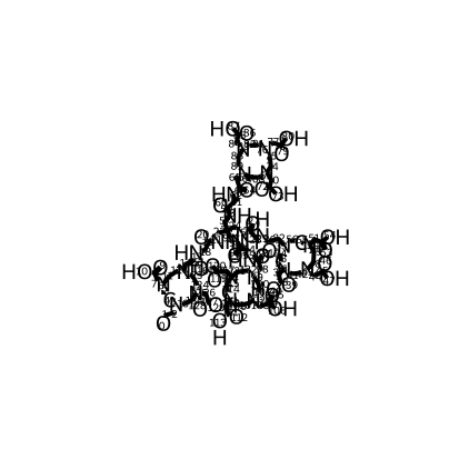 O=CCN1CCN(CC(=O)O)CCN(CC(=O)NCC(=O)NCC(CNC(=O)CNC(=O)CN2CCN(CC(=O)O)CCN(CC(=O)O)CCN(CC(=O)O)CC2)(CNC(=O)CNC(=O)CN2CCN(CC(=O)O)CCN(CC(=O)O)CCN(CC(=O)O)CC2)CNC(=O)CNC(=O)CN2CCN(CC(=O)O)CCN(CC(=O)O)CCN(CC(=O)O)CC2)CCN(CC(=O)O)CC1